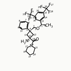 C[C@@H](OC[C@]1(c2ccccc2)C[C@](N)(C(=O)N2CCCCC2)C1)c1cc(C(F)(F)F)cc(C(F)(F)F)c1